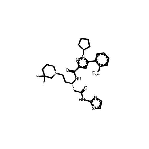 O=C(C[C@H](CCN1CCCC(F)(F)C1)NC(=O)c1cc(-c2ccccc2C(F)(F)F)n(C2CCCC2)n1)Nc1nccs1